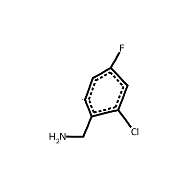 NCc1[c]cc(F)cc1Cl